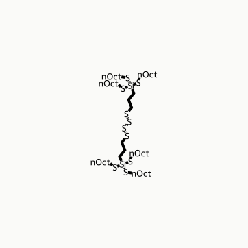 CCCCCCCCS[Si](CCCSSSSCCC[Si](SCCCCCCCC)(SCCCCCCCC)SCCCCCCCC)(SCCCCCCCC)SCCCCCCCC